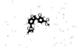 COC(=O)c1ccc(-c2coc3ccc(-c4nnc(C)o4)cc23)c(Cl)c1